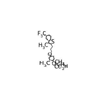 Cc1cc(OCCCc2sc3ccc(C(F)(F)F)cc3c2C)ccc1OC(C)(C)C(=O)O